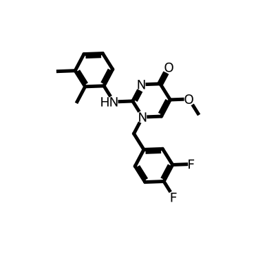 COc1cn(Cc2ccc(F)c(F)c2)c(Nc2cccc(C)c2C)nc1=O